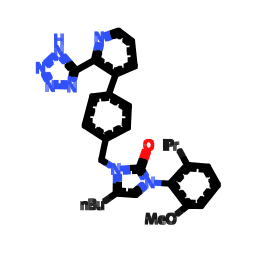 CCCCc1cn(-c2c(OC)cccc2C(C)C)c(=O)n1Cc1ccc(-c2cccnc2-c2nnn[nH]2)cc1